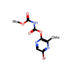 COc1nc(Br)cnc1OC(=O)NC(=O)OC(C)(C)C